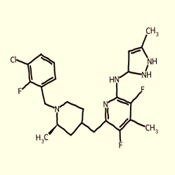 CC1=CC(Nc2nc(CC3CCN(Cc4cccc(Cl)c4F)[C@H](C)C3)c(F)c(C)c2F)NN1